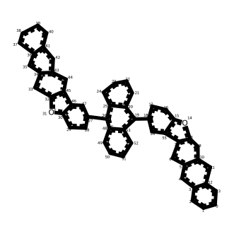 c1ccc2cc3cc4c(cc3cc2c1)oc1ccc(-c2c3ccccc3c(-c3ccc5oc6cc7cc8ccccc8cc7cc6c5c3)c3ccccc23)cc14